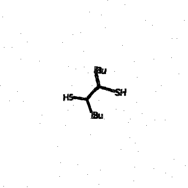 CCC(C)C(S)C(S)C(C)CC